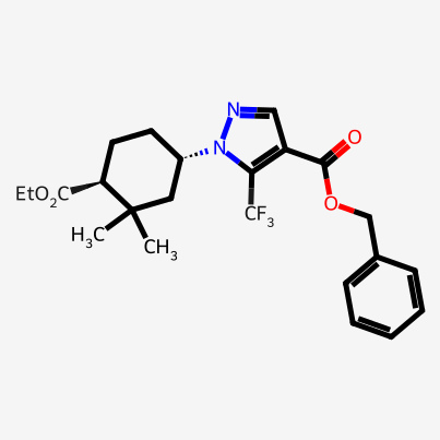 CCOC(=O)[C@H]1CC[C@H](n2ncc(C(=O)OCc3ccccc3)c2C(F)(F)F)CC1(C)C